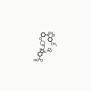 Cc1ccc(N(C)c2cccc(OC3CCN(Cc4nc5ccc(C(=O)O)cc5n4C[C@@H]4CCO4)CC3)c2)c(Cl)c1